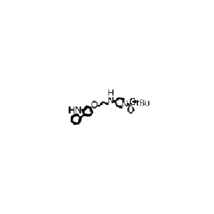 CC(C)(C)OC(=O)N1CCC(NCCCOc2ccc3c(c2)[nH]c2ccccc23)CC1